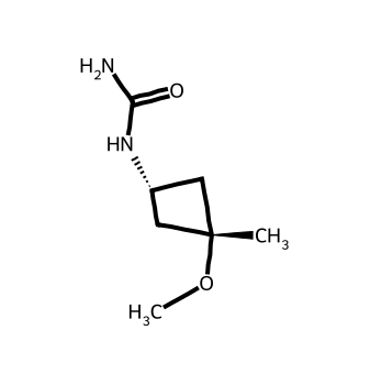 CO[C@]1(C)C[C@H](NC(N)=O)C1